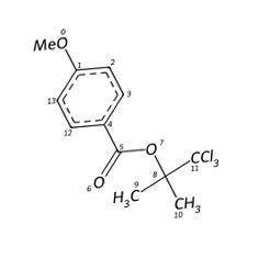 COc1ccc(C(=O)OC(C)(C)C(Cl)(Cl)Cl)cc1